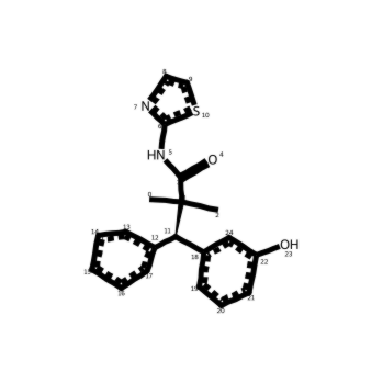 CC(C)(C(=O)Nc1nccs1)[C@H](c1ccccc1)c1cccc(O)c1